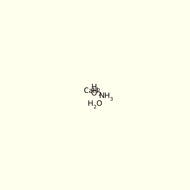 N.O.O.[CaH2]